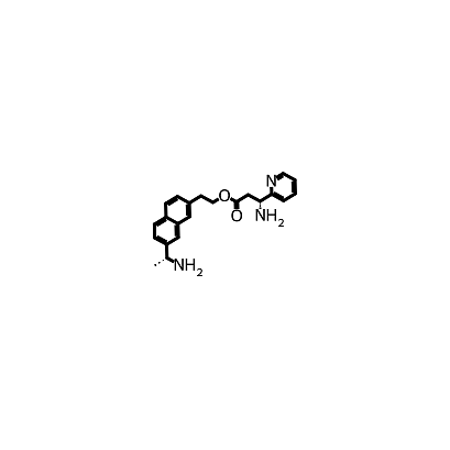 C[C@@H](N)c1ccc2ccc(CCOC(=O)C[C@@H](N)c3ccccn3)cc2c1